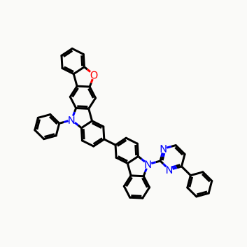 c1ccc(-c2ccnc(-n3c4ccccc4c4cc(-c5ccc6c(c5)c5cc7oc8ccccc8c7cc5n6-c5ccccc5)ccc43)n2)cc1